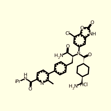 Cc1nc(C(=O)NC(C)C)ccc1-c1ccc(C[C@@H](C(N)=O)N(c2cc(Cl)c3oc(=O)[nH]c3c2)C(=O)[C@H]2CC[C@H](CN)CC2)cc1.Cl